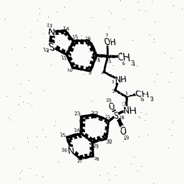 C[C@H](CNCC(C)(O)c1ccc2sncc2c1)NS(=O)(=O)c1ccc2cnccc2c1